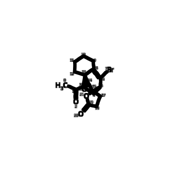 CC(=O)C1CC2C(Br)=C3CCCCC31C(=O)C21CCC(=O)O1